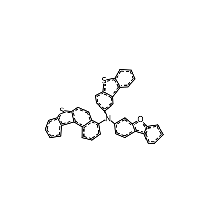 c1ccc2c(c1)oc1cc(N(c3ccc4sc5ccccc5c4c3)c3cccc4c3ccc3sc5ccccc5c34)ccc12